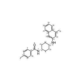 Cc1ccc(C(=O)N[C@H]2CC[C@@H](Nc3cc(C)c4ccccc4n3)CC2)cc1